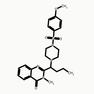 CCCC(c1nc2ccccc2c(=O)n1C)N1CCN(S(=O)(=O)c2ccc(OC)cc2)CC1